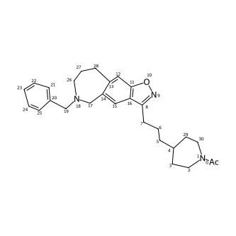 CC(=O)N1CCC(CCCc2noc3cc4c(cc23)CN(Cc2ccccc2)CCC4)CC1